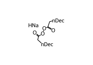 CCCCCCCCCCCC(=O)OOC(=O)CCCCCCCCCCC.[NaH]